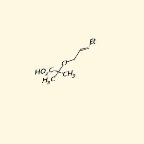 CCC=CCOC(C)(C)C(=O)O